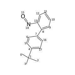 CC(C)(C)c1ccc(-c2ccccc2N=O)cc1